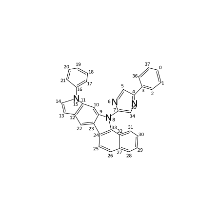 c1ccc(-c2cnc(-n3c4cc5c(ccn5-c5ccccc5)cc4c4ccc5ccccc5c43)cn2)cc1